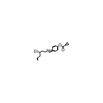 C=CCC(CC)CCNCc1ccc(OC(=O)C2CC2)cc1